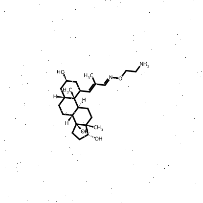 CC(/C=N/OCCN)=C\C1C[C@H](O)C[C@H]2CC[C@@H]3[C@H](CC[C@]4(C)[C@H](O)CC[C@]34O)[C@@]12C